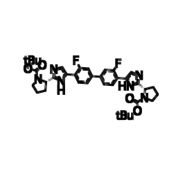 CC(C)(C)OC(=O)N1CCC[C@H]1c1ncc(-c2ccc(-c3ccc(-c4cnc([C@@H]5CCCN5C(=O)OC(C)(C)C)[nH]4)c(F)c3)cc2F)[nH]1